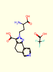 NC(CCn1nc2c(c1C(=O)O)CCc1cnccc1-2)C(=O)O.O=C(O)C(F)(F)F